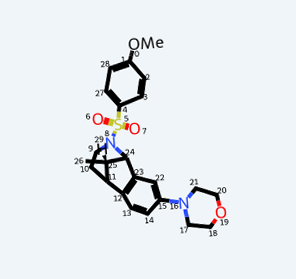 COc1ccc(S(=O)(=O)N2CCC3c4ccc(N5CCOCC5)cc4C2[C@H]3C)cc1